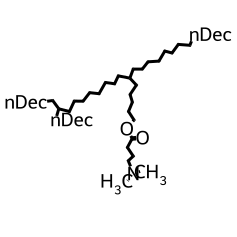 CCCCCCCCCCCCCCCCCCC(CCCCCCCCC(CCCCCCCCCC)CCCCCCCCCCC)CCCCCOC(=O)CCCN(C)C